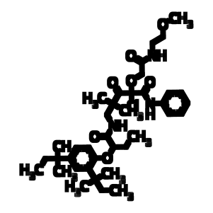 CCC(Oc1ccc(C(C)(C)CC)cc1C(C)(C)CC)C(=O)NCC(C)(C)C(=O)C(Cl)(OCC(=O)NCCOC)C(=O)Nc1ccccc1